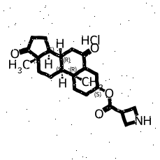 C[C@]12CC[C@H](OC(=O)C3CNC3)CC1C(=O)C[C@@H]1[C@@H]2CC[C@]2(C)C(=O)CC[C@@H]12.Cl